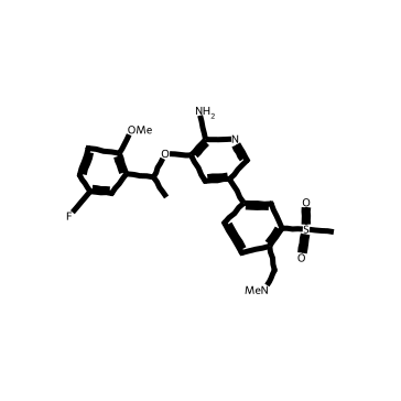 CNCc1ccc(-c2cnc(N)c(OC(C)c3cc(F)ccc3OC)c2)cc1S(C)(=O)=O